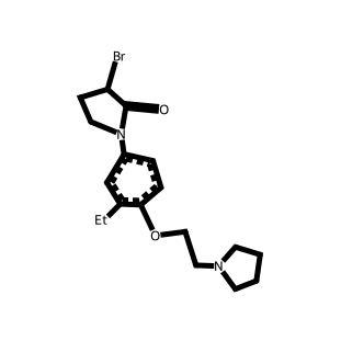 CCc1cc(N2CCC(Br)C2=O)ccc1OCCN1CCCC1